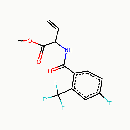 C=CC(NC(=O)c1ccc(F)cc1C(F)(F)F)C(=O)OC